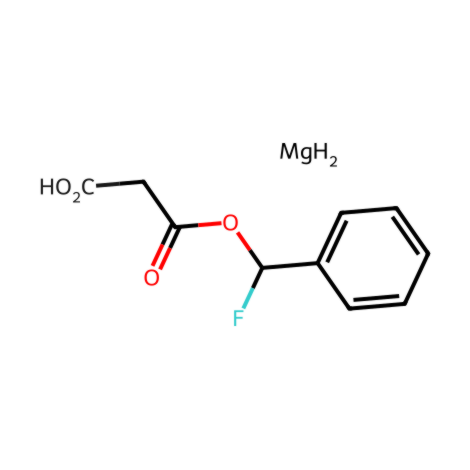 O=C(O)CC(=O)OC(F)c1ccccc1.[MgH2]